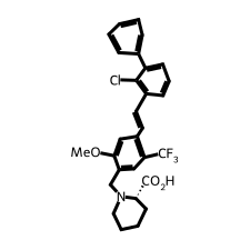 COc1cc(/C=C/c2cccc(-c3ccccc3)c2Cl)c(C(F)(F)F)cc1CN1CCCC[C@H]1C(=O)O